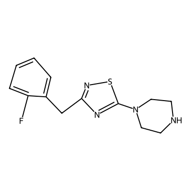 Fc1ccccc1Cc1nsc(N2CCNCC2)n1